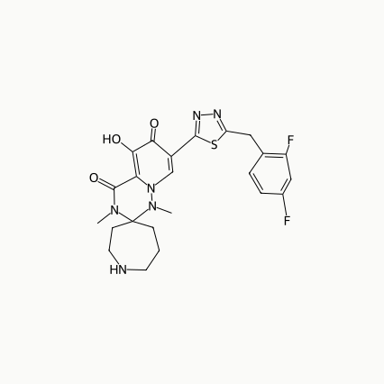 CN1C(=O)c2c(O)c(=O)c(-c3nnc(Cc4ccc(F)cc4F)s3)cn2N(C)C12CCCNCC2